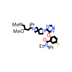 CCN(C(=O)c1cc(F)ccc1Oc1nncnc1N1CCC2(C1)CN([C@H](C[C@H](CNC)OC)C(C)C)C2)C(C)C